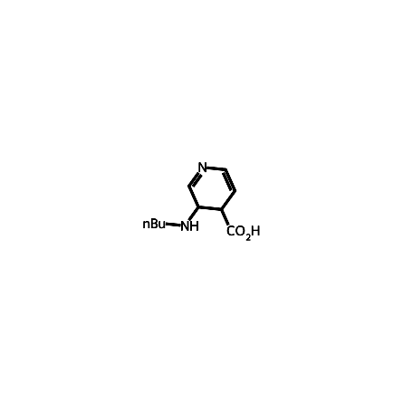 CCCCNC1C=NC=CC1C(=O)O